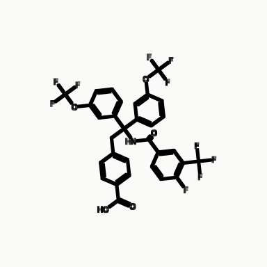 O=C(O)c1ccc(CC(NC(=O)c2ccc(F)c(C(F)(F)F)c2)(c2cccc(OC(F)(F)F)c2)c2cccc(OC(F)(F)F)c2)cc1